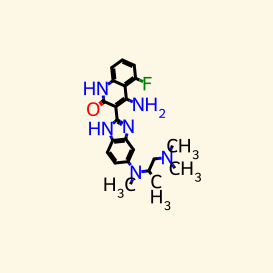 CC(CN(C)C)N(C)c1ccc2[nH]c(-c3c(N)c4c(F)cccc4[nH]c3=O)nc2c1